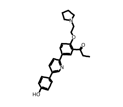 CCC(=O)c1cc(-c2ccc(-c3ccc(O)cc3)cn2)ccc1OCCN1CCCC1